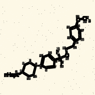 CCCCCCC[C@H]1CC[C@H](c2ccc(C(F)(F)OCCc3ccc(OC(F)(F)F)cc3)cc2)CC1